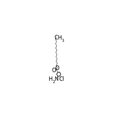 CCCCCCCCCCCCCCOC(=O)c1ccc(Cl)c(N)c1